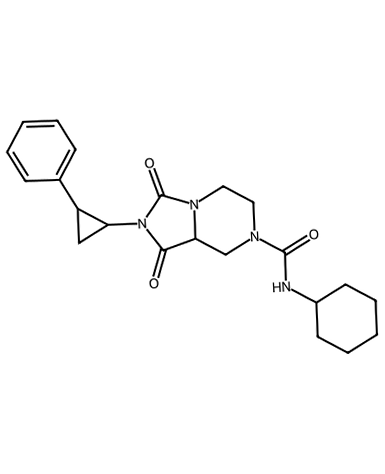 O=C(NC1CCCCC1)N1CCN2C(=O)N(C3CC3c3ccccc3)C(=O)C2C1